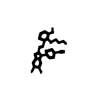 CCCCOc1c(C=Cc2nc3cc(F)c(F)cc3n2-c2ccc(C#N)cn2)cccc1OC